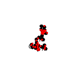 c1ccc(-c2cccc3c2oc2c(N(c4ccccc4)c4ccc(-c5ccc(-n6c(-c7cccc(-c8cccc(-c9ccc(N(c%10ccc(-c%11cccc%12oc%13ccccc%13c%11%12)cc%10)c%10ccc(-c%11ccc(-c%12nc%13ccccc%13n%12-c%12ccccc%12)cc%11)c%11c%10C%10c%12ccccc%12C%10%12c%10ccccc%10C%11%12)cc9)c8)c7)nc7ccccc76)cc5)c5c4C4c6ccccc6C5c5ccccc54)cccc23)cc1